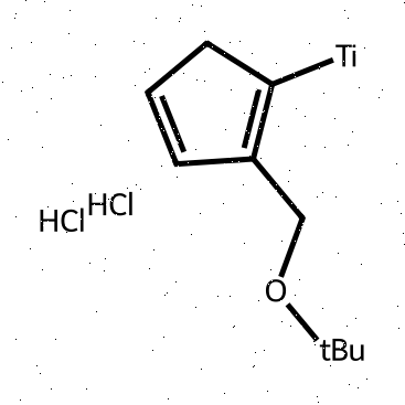 CC(C)(C)OCC1=[C]([Ti])CC=C1.Cl.Cl